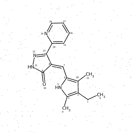 CCc1c(C)[nH]c(C=C2C(=O)NN=C2c2ccccn2)c1C